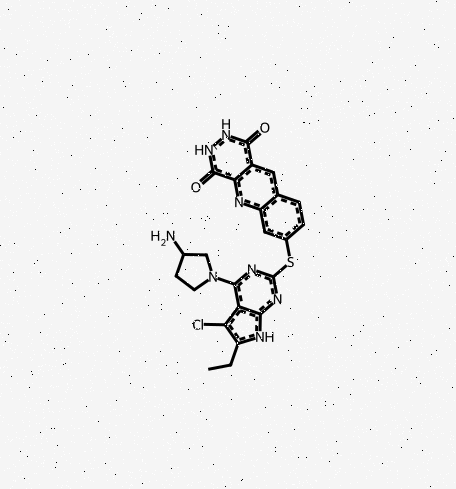 CCc1[nH]c2nc(Sc3ccc4cc5c(=O)[nH][nH]c(=O)c5nc4c3)nc(N3CCC(N)C3)c2c1Cl